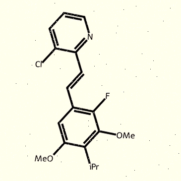 COc1cc(C=Cc2ncccc2Cl)c(F)c(OC)c1C(C)C